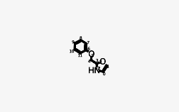 C1=COC(COc2ccccc2)N1